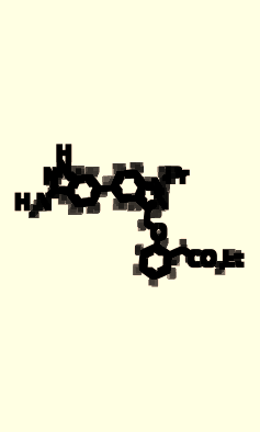 CCOC(=O)Cc1ccccc1OCc1nn(C(C)C)c2ccc(-c3ccc4c(N)n[nH]c4c3)cc12